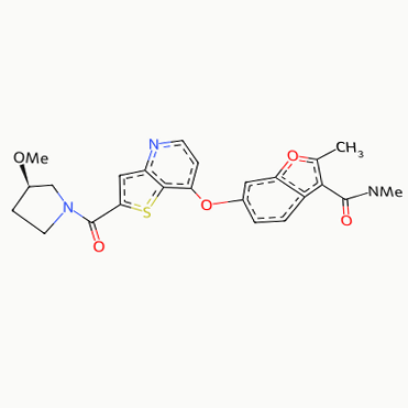 CNC(=O)c1c(C)oc2cc(Oc3ccnc4cc(C(=O)N5CC[C@@H](OC)C5)sc34)ccc12